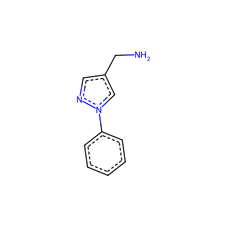 NCc1cnn(-c2ccccc2)c1